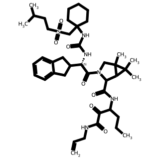 C=CCNC(=O)C(=O)C(CCC)NC(=O)C1C2C(C)(C)C2(C)CN1C(=O)[C@@H](NC(=O)NC1(CS(=O)(=O)CCC(C)C)CCCCC1)C1Cc2ccccc2C1